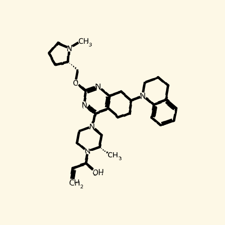 C=CC(O)N1CCN(c2nc(OC[C@@H]3CCCN3C)nc3c2CCC(N2CCCc4ccccc42)C3)C[C@@H]1C